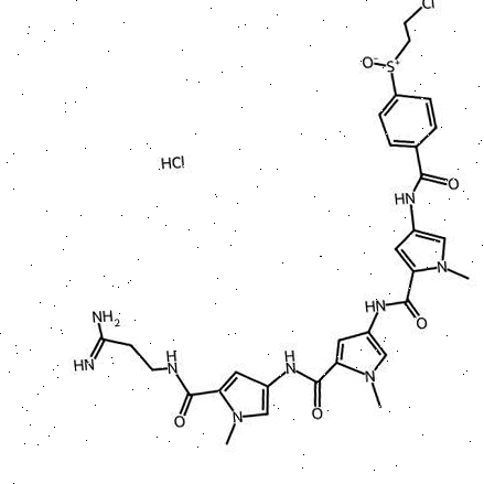 Cl.Cn1cc(NC(=O)c2cc(NC(=O)c3cc(NC(=O)c4ccc([S+]([O-])CCCl)cc4)cn3C)cn2C)cc1C(=O)NCCC(=N)N